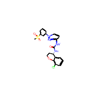 CS(=O)(=O)c1cccc(-n2ccc(NC(=O)N[C@H]3CCOc4c(Cl)cccc43)n2)c1